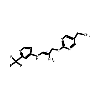 CCc1cnc(OC/C(N)=C/Nc2ccnc(C(F)(F)F)c2)nc1